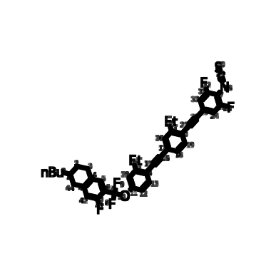 CCCCC1CCc2cc(C(F)(F)Oc3ccc(C#Cc4ccc(C#Cc5cc(F)c(N=C=S)c(F)c5)c(CC)c4)c(CC)c3)c(F)cc2C1